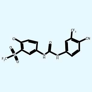 N#Cc1ccc(NC(=O)Nc2ccc(Cl)c(S(=O)(=O)C(F)(F)F)c2)cc1C(F)(F)F